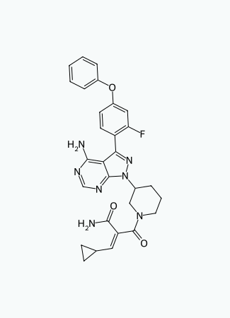 NC(=O)C(=CC1CC1)C(=O)N1CCCC(n2nc(-c3ccc(Oc4ccccc4)cc3F)c3c(N)ncnc32)C1